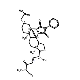 CC(C)C(=O)/C=C/[C@@H](C)[C@H]1CCC2[C@]34C=C[C@@]5(C[C@@H](CC(=O)O)CC[C@]5(C)C3CC[C@@]21C)n1c(=O)n(-c2ccccc2)c(=O)n14